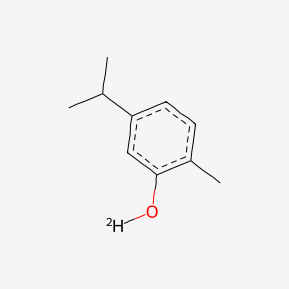 [2H]Oc1cc(C(C)C)ccc1C